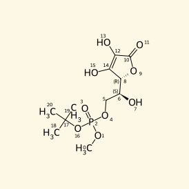 COP(=O)(OC[C@H](O)[C@H]1OC(=O)C(O)=C1O)OC(C)(C)C